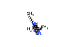 CCCCCCCCCCNCc1ccc(Cn2c(CCCC)nc3c(N)nnc(OC(C)C)c32)cc1